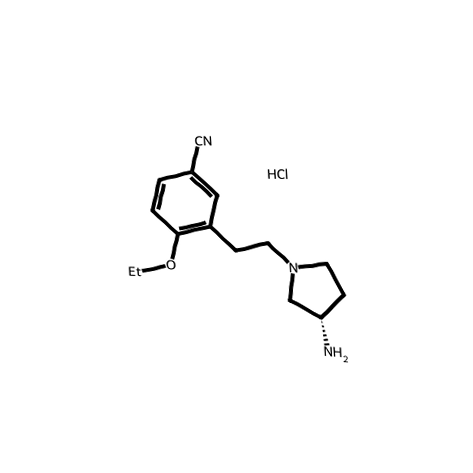 CCOc1ccc(C#N)cc1CCN1CC[C@H](N)C1.Cl